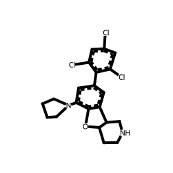 Clc1cc(Cl)c(-c2cc3c(c(N4CCCC4)c2)OC2CCNCC32)c(Cl)c1